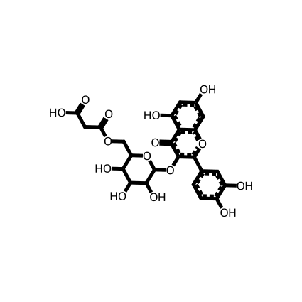 O=C(O)CC(=O)OCC1OC(Oc2c(-c3ccc(O)c(O)c3)oc3cc(O)cc(O)c3c2=O)C(O)C(O)C1O